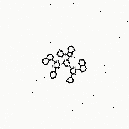 c1ccc(-c2cc(-c3cc(-c4cc(-c5ccccc5)nc(-c5cccc6ccccc56)n4)cc(-c4nc5ccccc5n4-c4ccccc4)c3)nc(-c3cccc4ccccc34)n2)cc1